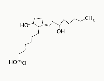 CCCCCC(O)CC=C1CCC(O)[C@@H]1CCCCCCC(=O)O